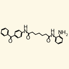 Nc1ccccc1NC(=O)CCCCCC(=O)Nc1ccc(C(=O)c2ccccc2)cc1